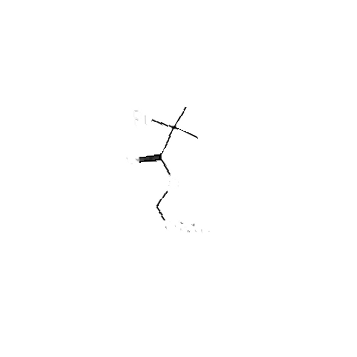 COCOC(=O)C(C)(C)C(C)C